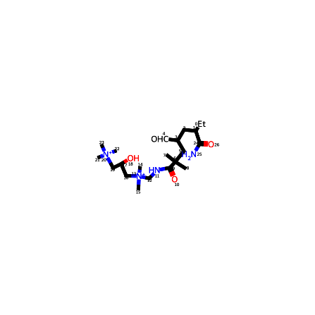 CCC(CC(C=O)CC(C)(C)C(=O)NC[N+](C)(C)CC(O)C[N+](C)(C)C)C(N)=O